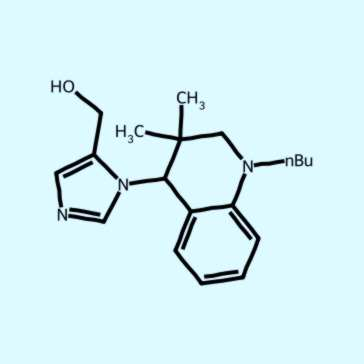 CCCCN1CC(C)(C)C(n2cncc2CO)c2ccccc21